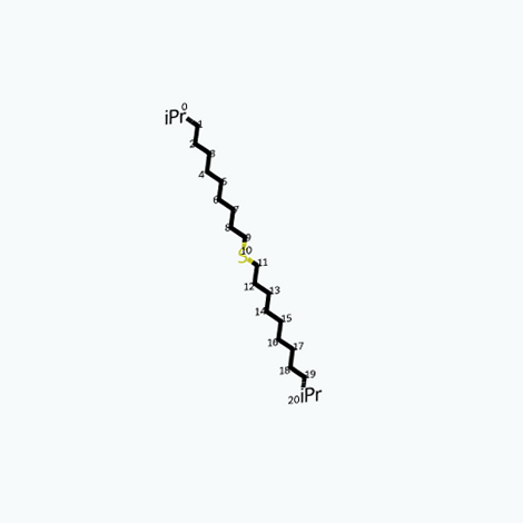 CC(C)CCCCCCCCCSCCCCCCCCCC(C)C